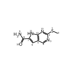 CSc1ncc2cc(C(N)=O)[nH]c2n1